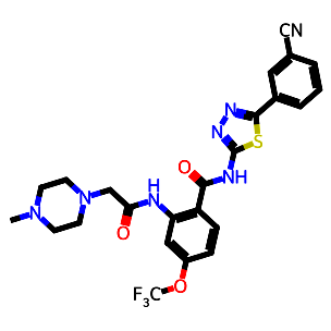 CN1CCN(CC(=O)Nc2cc(OC(F)(F)F)ccc2C(=O)Nc2nnc(-c3cccc(C#N)c3)s2)CC1